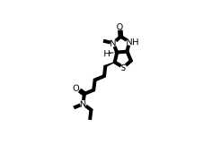 CCN(C)C(=O)CCCC[C@@H]1SCC2NC(=O)N(C)[C@@H]21